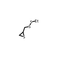 CCSSCC1CS1